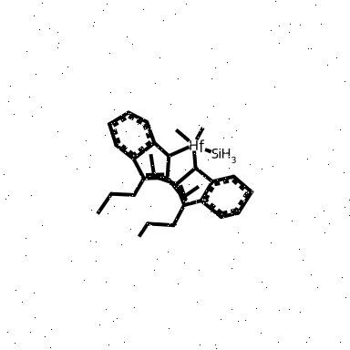 CCCC1=C(CC)[CH]([Hf]([CH3])([CH3])([SiH3])[CH]2C(CC)=C(CCC)c3ccccc32)c2ccccc21